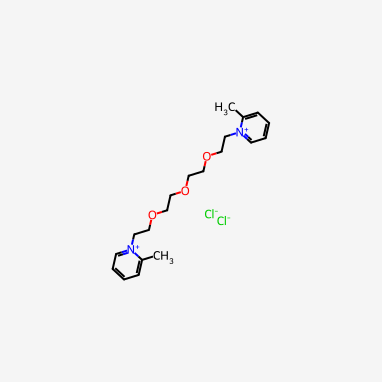 Cc1cccc[n+]1CCOCCOCCOCC[n+]1ccccc1C.[Cl-].[Cl-]